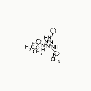 CCN1CCCC1CNc1nc(NCC2CCCCC2)nc(Nc2cccc(F)c2OC(C)C)n1